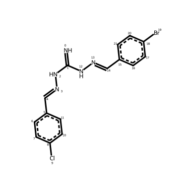 N=C(NN=Cc1ccc(Cl)cc1)NN=Cc1ccc(Br)cc1